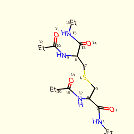 CCNC(=O)C(CSCC(NC(=O)CC)C(=O)NCC)NC(=O)CC